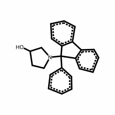 OC1CCN(C2(c3ccccc3)c3ccccc3-c3ccccc32)C1